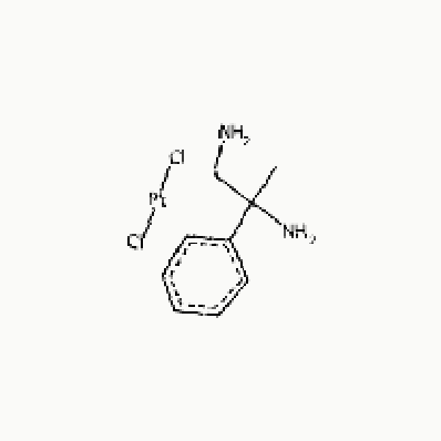 CC(N)(CN)c1ccccc1.[Cl][Pt][Cl]